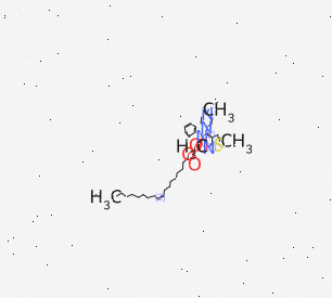 CCCCCCCC/C=C\CCCCCCCC(=O)OCOC(=O)N(/C(=C1/C=C(C)S/C1=N/C)N1CCN(C)CC1)c1ccccc1